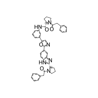 O=C(Nc1cccc(-c2cnc(-c3ccc4[nH]c([C@@H]5CCCN5C(=O)Cc5ccccc5)nc4c3)o2)c1)[C@@H]1CCCN1C(=O)Cc1ccccc1